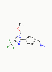 COCn1cc(C(F)(F)F)nc1-c1ccc(CN)cc1